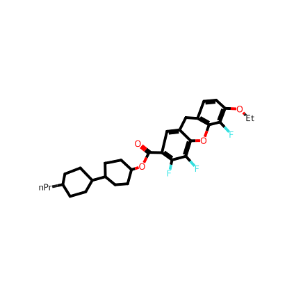 CCCC1CCC(C2CCC(OC(=O)c3cc4c(c(F)c3F)Oc3c(ccc(OCC)c3F)C4)CC2)CC1